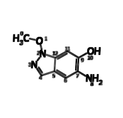 COn1ncc2cc(N)c(O)cc21